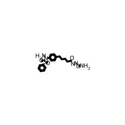 NON=NC(=O)CCCCc1ccc(N(N)S(=O)(=O)c2ccccc2)cc1